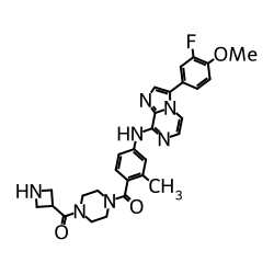 COc1ccc(-c2cnc3c(Nc4ccc(C(=O)N5CCN(C(=O)C6CNC6)CC5)c(C)c4)nccn23)cc1F